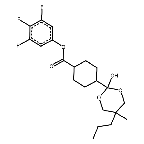 CCCC1(C)COC(O)(C2CCC(C(=O)Oc3cc(F)c(F)c(F)c3)CC2)OC1